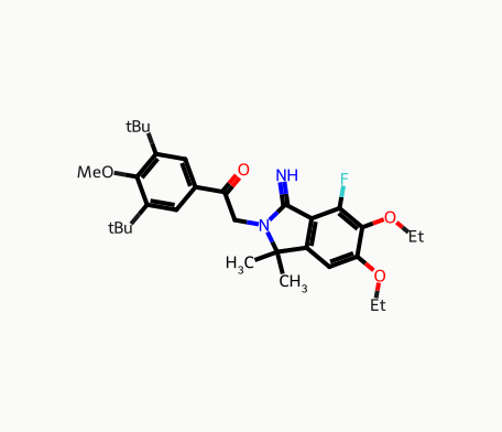 CCOc1cc2c(c(F)c1OCC)C(=N)N(CC(=O)c1cc(C(C)(C)C)c(OC)c(C(C)(C)C)c1)C2(C)C